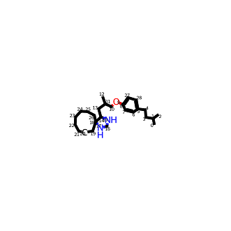 CC(C)CCc1ccc(OCC(C)CC2NCNC23CCCCCCCC3)cc1